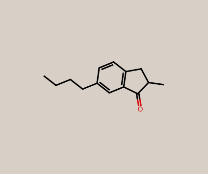 CCCCc1ccc2c(c1)C(=O)C(C)C2